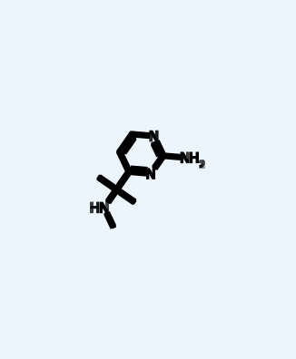 CNC(C)(C)c1ccnc(N)n1